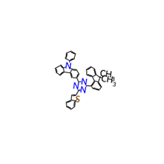 CC1(C)c2ccccc2-c2c(-c3nc(-c4ccc5c(c4)c4ccccc4n5-c4ccccc4)nc(-c4cc5ccccc5s4)n3)cccc21